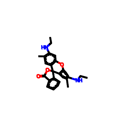 CCNc1cc2c(cc1C)C1(OC(=O)c3ccccc31)c1cc(C)c(NCC)cc1O2